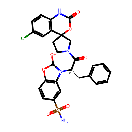 NS(=O)(=O)c1ccc2c(c1)N([C@@H](Cc1ccccc1)C(=O)N1CCC3(C1)OC(=O)Nc1ccc(Cl)cc13)C(O)O2